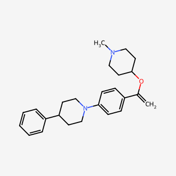 C=C(OC1CCN(C)CC1)c1ccc(N2CCC(c3ccccc3)CC2)cc1